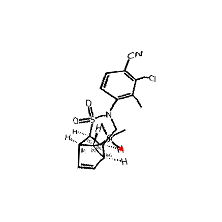 Cc1c(N2C[C@H]3[C@H]4C=C[C@H]([C@@H]4[Si](C)(C)C)[C@H]3S2(=O)=O)ccc(C#N)c1Cl